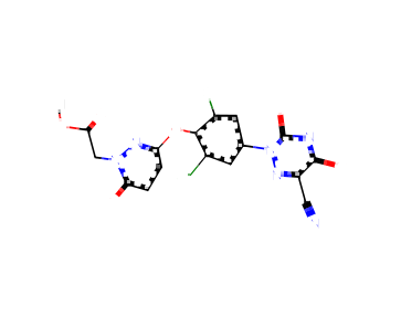 COC(=O)Cn1nc(Oc2c(Cl)cc(-n3nc(C#N)c(=O)[nH]c3=O)cc2Cl)ccc1=O